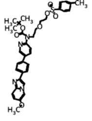 COc1ccc2nc(-c3ccc(-c4ccc(N(CCOCCOS(=O)(=O)c5ccc(C)cc5)C(=O)OC(C)(C)C)nc4)cc3)cn2c1